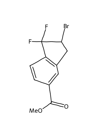 COC(=O)c1ccc2c(c1)CC(Br)C2(F)F